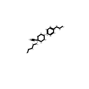 CCCCC[C@]1(C#N)CC[C@H](c2ccc(CCC)cc2)CC1